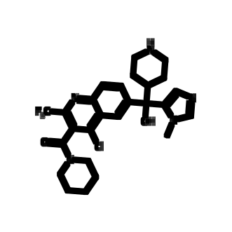 Cn1cncc1C(O)(c1ccc2nc(C(F)(F)F)c(C(=O)N3CCCCC3)c(Cl)c2c1)C1CCNCC1